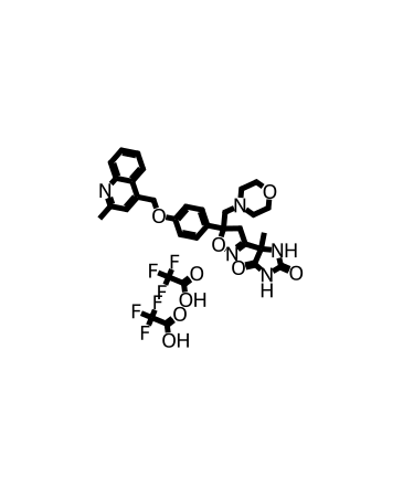 Cc1cc(COc2ccc(C3(CN4CCOCC4)CC(C4(C)NC(=O)NC4=O)=NO3)cc2)c2ccccc2n1.O=C(O)C(F)(F)F.O=C(O)C(F)(F)F